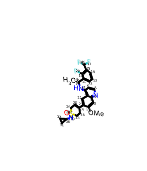 COc1cc2nccc(N[C@H](C)c3cccc(C(F)F)c3F)c2cc1C1=CCS(=O)(=NC2CC2)CC1